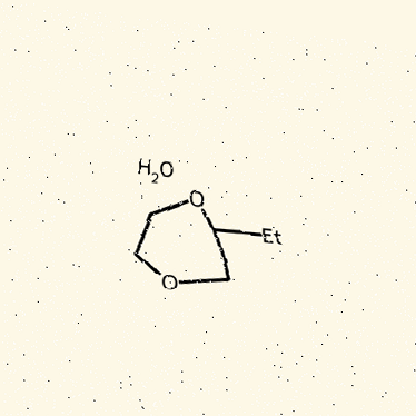 CCC1COCCO1.O